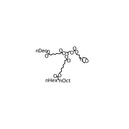 CCCCCCCCCCOC(=O)CCCCCC(=O)OCC(COC(=O)CCCCCCCOC(=O)C(CCCCCC)CCCCCCCC)COC(=O)OCCCN1CCOCC1